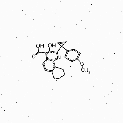 COc1ccc(C2(c3nc4c5c(ccc4c(C(=O)O)c3O)CCCC5)C=C2)cc1